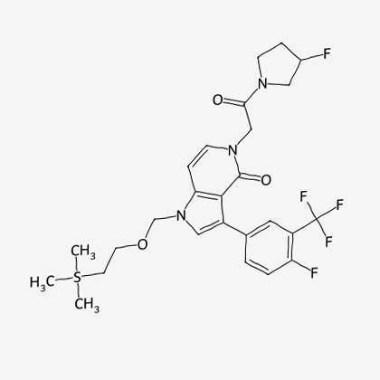 CS(C)(C)CCOCn1cc(-c2ccc(F)c(C(F)(F)F)c2)c2c(=O)n(CC(=O)N3CCC(F)C3)ccc21